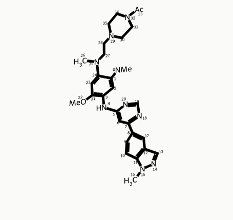 CNc1cc(Nc2cc(-c3ccc4c(cnn4C)c3)ncn2)c(OC)cc1N(C)CCN1CCN(C(C)=O)CC1